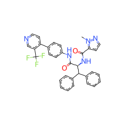 Cn1nccc1C(=O)N[C@H](C(=O)Nc1ccc(-c2ccncc2C(F)(F)F)cc1)C(c1ccccc1)c1ccccc1